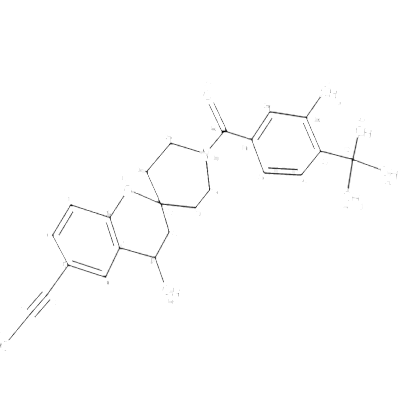 CC#Cc1ccc2c(c1)C(O)CC1(CCN(C(=O)c3ccc(C(C)(C)O)c(C)c3)CC1)O2